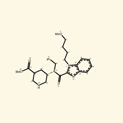 COCCCCn1c(C(=O)N(CC(C)C)[C@@H]2CNCC(C(=O)OC)C2)nc2ccccc21